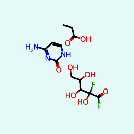 CCC(=O)O.Nc1cc[nH]c(=O)n1.O=C(F)[C@@](O)(F)C(O)C(O)CO